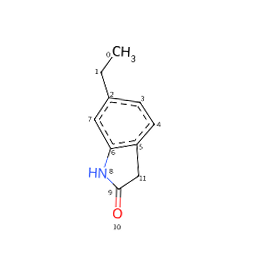 CCc1ccc2c(c1)NC(=O)C2